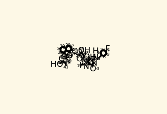 COc1nc(NCc2ccc(F)cc2)nc2c1nc(I)n2[C@@H]1O[C@H](COc2ccc3ccccc3c2O/[P+]([O-])=N/C(C)C(=O)O)[C@@H](O)[C@@]1(C)O